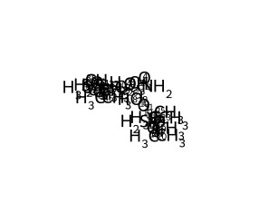 C=C(C(N)=O)C(CC(O)COCCC[SiH2]C(O[Si](C)(C)C)O[Si](C)(C)C)CC(O)COCCC[SiH2]C(O[Si](C)(C)C)O[Si](C)(C)C